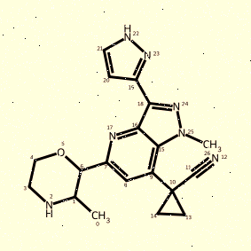 CC1NCCOC1c1cc(C2(C#N)CC2)c2c(n1)c(-c1cc[nH]n1)nn2C